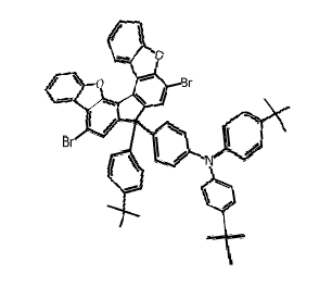 CC(C)(C)c1ccc(N(c2ccc(C(C)(C)C)cc2)c2ccc(C3(c4ccc(C(C)(C)C)cc4)c4cc(Br)c5c(oc6ccccc65)c4-c4c3cc(Br)c3oc5ccccc5c43)cc2)cc1